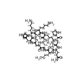 CSCC[C@H](NC(=O)[C@H](CCC(N)=O)NC(=O)CNC(=O)[C@@H]1CCCN1)C(=O)N[C@@H](CS)C(=O)NCC(=O)N[C@@H](Cc1c[nH]cn1)C(=O)N[C@@H](CCCCN)C(=O)N[C@@H](CCCCN)C(=O)N[C@@H](CCCCN)C(=O)O